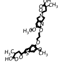 COc1cc2sc(C(=O)C[C@H](C)C(=O)O)cc2cc1OCCCOc1nc2c(cc1OC)CN(C(=O)C[C@H](C)C(=O)O)C2